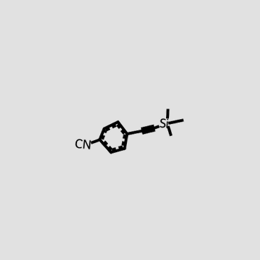 [C-]#[N+]c1ccc(C#C[Si](C)(C)C)cc1